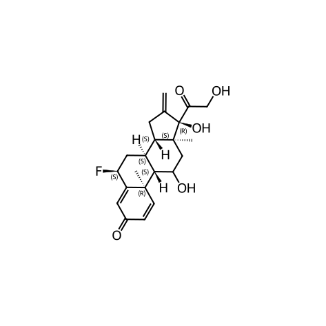 C=C1C[C@H]2[C@@H]3C[C@H](F)C4=CC(=O)C=C[C@]4(C)[C@H]3C(O)C[C@]2(C)[C@@]1(O)C(=O)CO